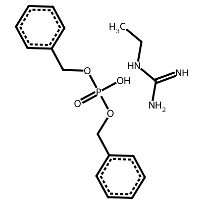 CCNC(=N)N.O=P(O)(OCc1ccccc1)OCc1ccccc1